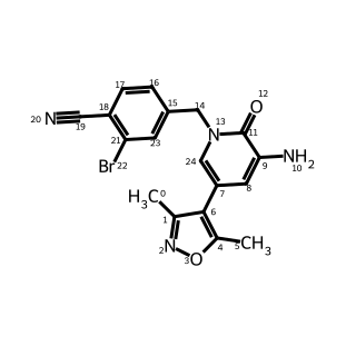 Cc1noc(C)c1-c1cc(N)c(=O)n(Cc2ccc(C#N)c(Br)c2)c1